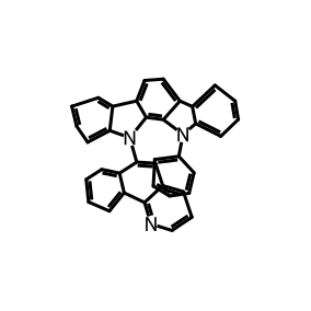 c1ccc(-n2c3ccccc3c3ccc4c5ccccc5n(-c5cc6cccnc6c6ccccc56)c4c32)cc1